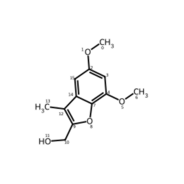 COc1cc(OC)c2oc(CO)c(C)c2c1